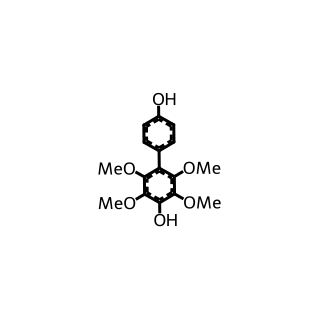 COc1c(O)c(OC)c(OC)c(-c2ccc(O)cc2)c1OC